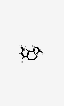 CCc1cnc2n1CCCc1c(O)cc(=O)[nH]c1-2